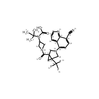 CC(C)(C)N(C(=O)O)C1CN(C(=O)C23CN(c4ccc(C#N)c5ncccc45)CC2(C(F)(F)F)C3)C1